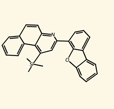 C[Si](C)(C)c1cc(-c2cccc3c2oc2ccccc23)nc2ccc3ccccc3c12